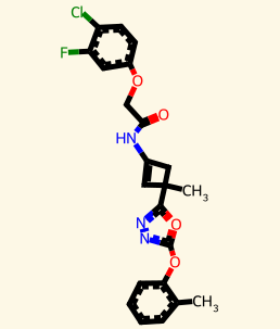 Cc1ccccc1Oc1nnc(C2(C)C=C(NC(=O)COc3ccc(Cl)c(F)c3)C2)o1